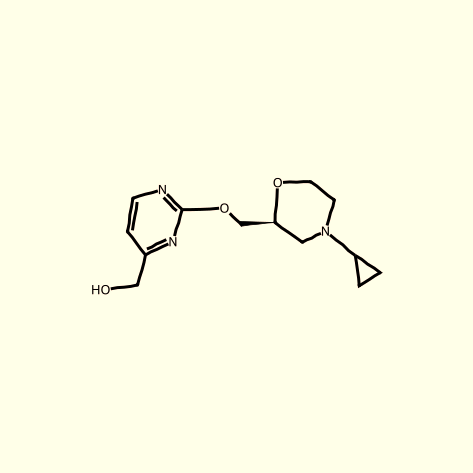 OCc1ccnc(OC[C@@H]2CN(C3CC3)CCO2)n1